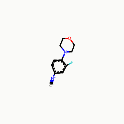 [C-]#[N+]c1ccc(N2CCOCC2)c(F)c1